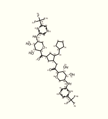 O=C(CC1CC(C(=O)C2OC[C@H](Nc3cncc(C(F)(F)F)n3)[C@@H](O)[C@H]2O)CC1CC1CCCC1)C1OC[C@H](Nc2cncc(C(F)(F)F)n2)[C@@H](O)[C@H]1O